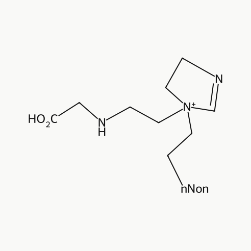 CCCCCCCCCCC[N+]1(CCNCC(=O)O)C=NCC1